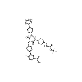 COC(=O)c1ccc(C)c(-c2ccc(C[C@H](NC(=O)C3CCC(CNC(=O)OC(C)(C)C)CC3)C(=O)Nc3ccc(-c4nn[nH]n4)cc3)cc2)c1